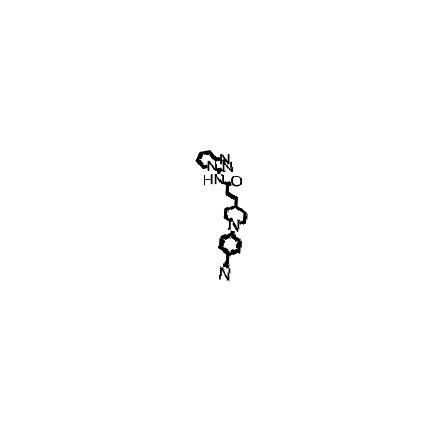 N#Cc1ccc(N2CCC(C=CC(=O)Nc3nnc4ccccn34)CC2)cc1